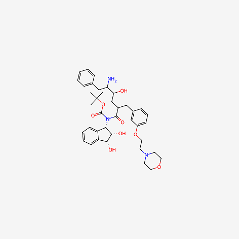 CC(C)(C)OC(=O)N(C(=O)C(Cc1cccc(OCCN2CCOCC2)c1)CC(O)C(N)Cc1ccccc1)[C@H]1c2ccccc2[C@@H](O)[C@H]1O